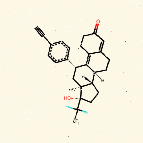 C#Cc1ccc([C@H]2C[C@@]3(C)[C@@H](CC[C@@]3(O)C(F)(F)C(F)(F)F)[C@@H]3CCC4=CC(=O)CCC4=C32)cc1